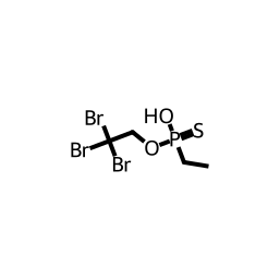 CCP(O)(=S)OCC(Br)(Br)Br